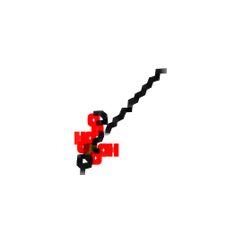 CCCCCCCCC=CCCCCCCC[C@H](C[C@H](O)C(C(=O)O)[S@+]([O-])c1ccc(C)cc1)OC1CCCCO1